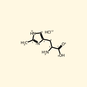 Cc1nc(CC(N)C(=O)O)c[nH]1.Cl